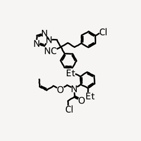 C/C=C\COCN(C(=O)CCl)c1c(CC)cccc1CC.N#CC(CCc1ccc(Cl)cc1)(Cn1cncn1)c1ccccc1